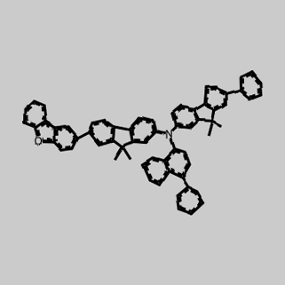 CC1(C)c2cc(-c3ccccc3)ccc2-c2ccc(N(c3ccc4c(c3)C(C)(C)c3cc(-c5ccc6oc7ccccc7c6c5)ccc3-4)c3ccc(-c4ccccc4)c4ccccc34)cc21